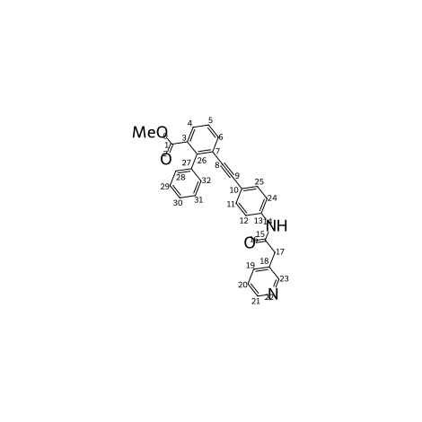 COC(=O)c1cccc(C#Cc2ccc(NC(=O)Cc3cccnc3)cc2)c1-c1ccccc1